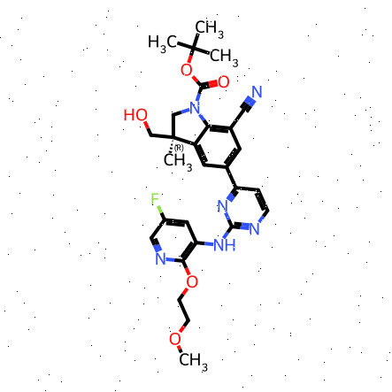 COCCOc1ncc(F)cc1Nc1nccc(-c2cc(C#N)c3c(c2)[C@@](C)(CO)CN3C(=O)OC(C)(C)C)n1